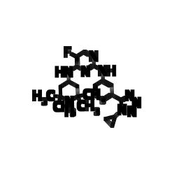 CC1(C)CC(Nc2nc(Nc3cccc(-c4nnnn4C4CC4)c3)ncc2F)CC(C)(C)N1